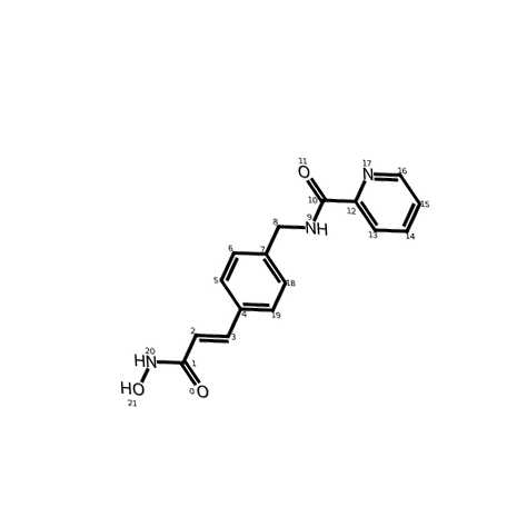 O=C(/C=C/c1ccc(CNC(=O)c2ccccn2)cc1)NO